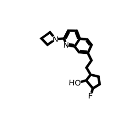 OC1C(F)CCC1CCc1ccc2ccc(N3CCC3)nc2c1